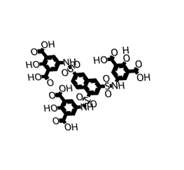 O=C(O)c1cc(NS(=O)(=O)c2ccc3c(S(=O)(=O)Nc4cc(C(=O)O)c(O)c(C(=O)O)c4)cc(S(=O)(=O)Nc4cc(C(=O)O)c(O)c(C(=O)O)c4)cc3c2)cc(C(=O)O)c1O